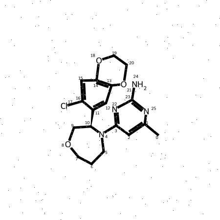 Cc1cc(N2CCCOC[C@H]2c2cc3c(cc2Cl)OCCO3)nc(N)n1